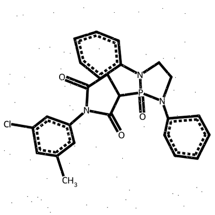 Cc1cc(Cl)cc(N2C(=O)CC(P3(=O)N(c4ccccc4)CCN3c3ccccc3)C2=O)c1